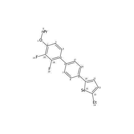 CCCOc1ccc(-c2ccc(-c3ccc(CC)[se]3)cc2)c(F)c1F